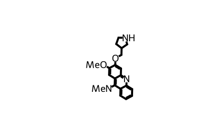 CNc1c2ccccc2nc2cc(OCC3CCNC3)c(OC)cc12